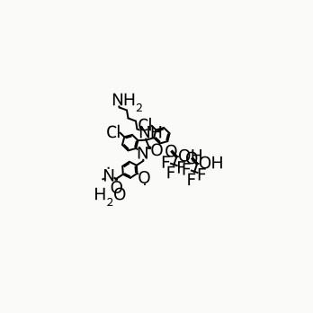 COc1cc(C(=O)N(C)C)ccc1CN1C(=O)C(NCCCCCN)(c2ccccc2Cl)c2cc(Cl)ccc21.O.O=C(O)C(F)(F)F.O=C(O)C(F)(F)F